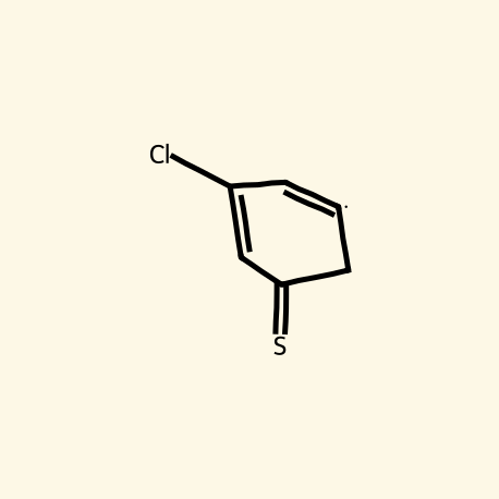 S=C1C=C(Cl)C=[C]C1